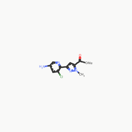 COC(=O)c1cc(-c2ncc(N)cc2Cl)nn1C